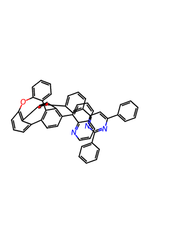 c1ccc(-c2cc(-c3cccc(-c4cccc5c4-c4c(-c6cccc7cccnc67)ccc6c4-c4ccccc4Oc4cccc-6c4-5)c3)nc(-c3ccccc3)n2)cc1